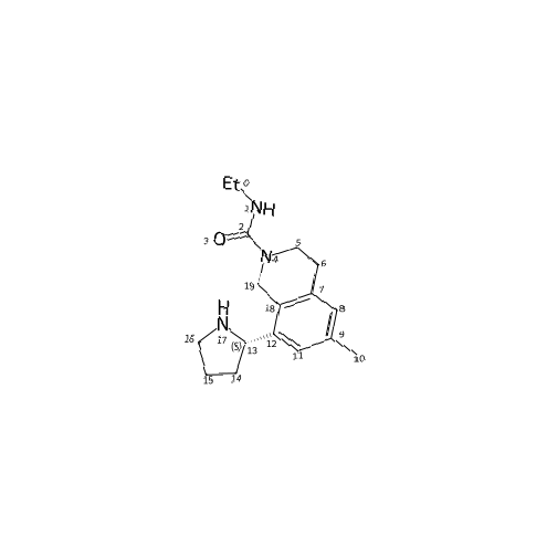 CCNC(=O)N1CCc2cc(C)cc([C@@H]3CCCN3)c2C1